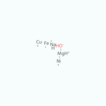 [Cu].[Fe].[MgH+].[NaH].[Ni].[OH-]